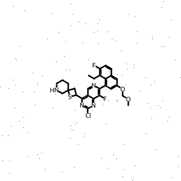 CCc1c(F)ccc2cc(OCOC)cc(-c3ncc4c(C5CC6(CCCNC6)S5)nc(Cl)nc4c3F)c12